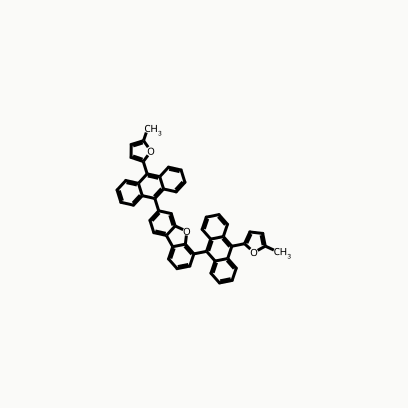 Cc1ccc(-c2c3ccccc3c(-c3ccc4c(c3)oc3c(-c5c6ccccc6c(-c6ccc(C)o6)c6ccccc56)cccc34)c3ccccc23)o1